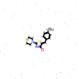 CC(C)(C)c1ccc(/C=C2\SC(N3CCSCC3)=NC2=O)cc1